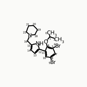 CC(C)Oc1c(Br)cc(Br)cc1-c1ccc(CN2CCCCC2)[nH]1